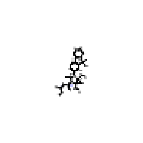 CC/C(C)=C\C(C)=C(/CC)C1(CC)CC1(CC)N(C)c1ccc2c(c1)C(C)(C)c1ccccc1-2